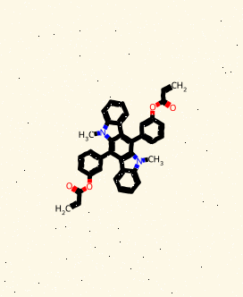 C=CC(=O)Oc1cccc(-c2c3c4ccccc4n(C)c3c(-c3cccc(OC(=O)C=C)c3)c3c4ccccc4n(C)c23)c1